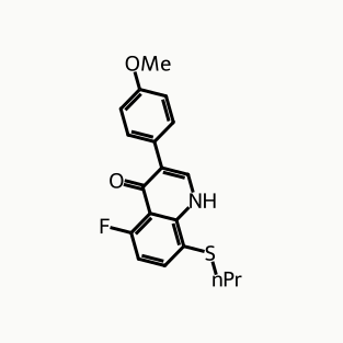 CCCSc1ccc(F)c2c(=O)c(-c3ccc(OC)cc3)c[nH]c12